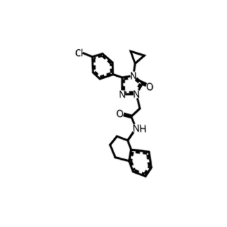 O=C(Cn1nc(-c2ccc(Cl)cc2)n(C2CC2)c1=O)NC1CCCc2ccccc21